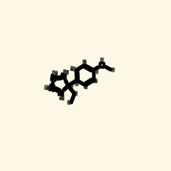 CCC1(c2c[c]c(OC)cc2)N=NN=N1